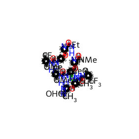 CCNC(=O)c1cc(Oc2ccc(NC(=O)Nc3cc(C(F)(F)F)ccc3OC)cc2)ccn1.CNC(=O)c1cc(Oc2ccc(NC(=O)Nc3cc(C(F)(F)F)ccc3OC)c(Cl)c2)ccn1.COc1ccc(C(F)(F)F)cc1NC(=O)Nc1ccc(Oc2ccnc(N(C)C=O)c2)cc1C